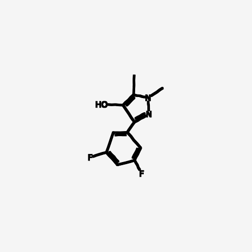 Cc1c(O)c(-c2cc(F)cc(F)c2)nn1C